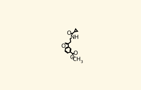 COC(=O)c1ccc2occ(CCNC(=O)C3CC3)c2c1